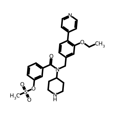 CCOc1cc(CN(C(=O)c2cccc(OS(C)(=O)=O)c2)C2CCNCC2)ccc1-c1ccncc1